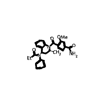 CCC(=O)N(c1ccccc1)[C@H]1C[C@@H](C)N(C(=O)c2ccc(C(N)=O)cc2OC)c2ccccc21